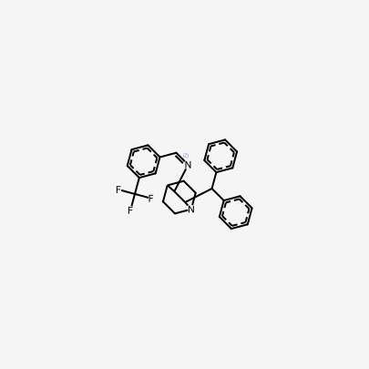 FC(F)(F)c1cccc(/C=N\C2C3CCN(CC3)C2C(c2ccccc2)c2ccccc2)c1